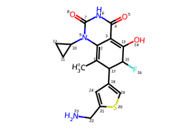 CC1=c2c(c(=O)[nH]c(=O)n2C2CC2)=C(O)C(F)C1c1csc(CN)c1